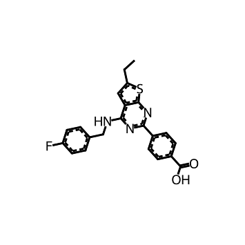 CCc1cc2c(NCc3ccc(F)cc3)nc(-c3ccc(C(=O)O)cc3)nc2s1